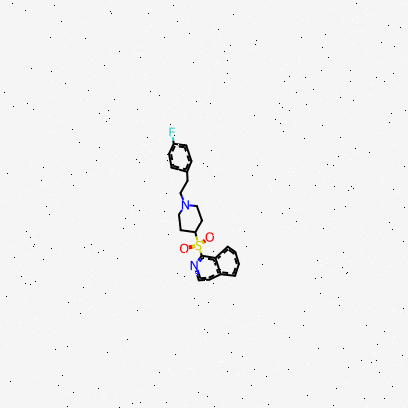 O=S(=O)(c1nccc2ccccc12)C1CCN(CCc2ccc(F)cc2)CC1